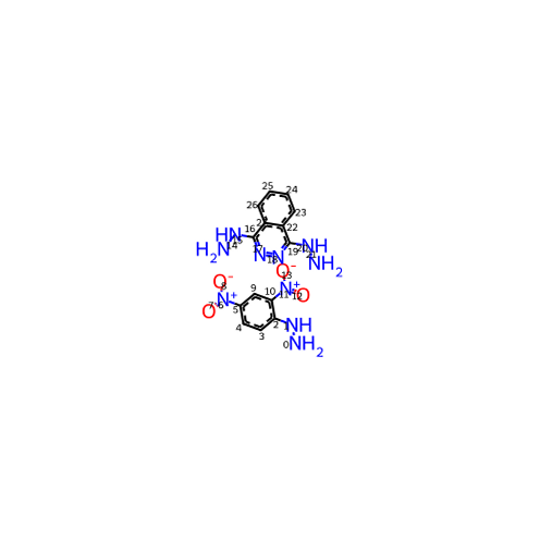 NNc1ccc([N+](=O)[O-])cc1[N+](=O)[O-].NNc1nnc(NN)c2ccccc12